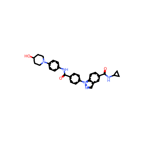 O=C(Nc1ccc(N2CCC(O)CC2)cc1)c1ccc(-n2ncc3cc(C(=O)NC4CC4)ccc32)cc1